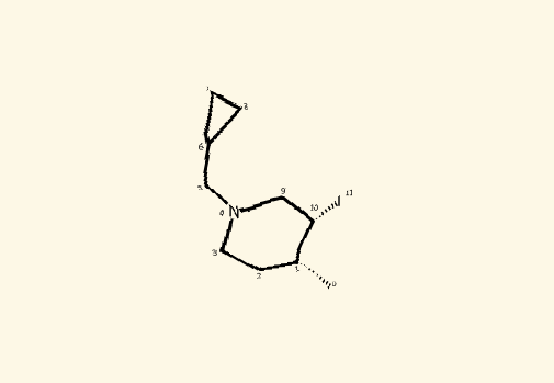 C[C@@H]1CCN(CC2CC2)C[C@@H]1I